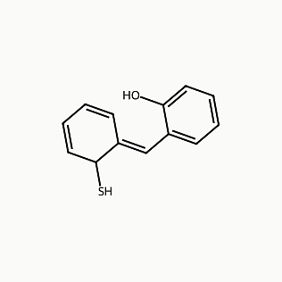 Oc1ccccc1C=C1C=CC=CC1S